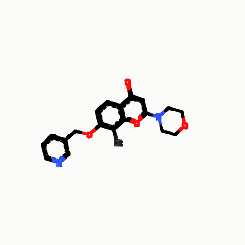 CCc1c(OCc2cccnc2)ccc2c(=O)cc(N3CCOCC3)oc12